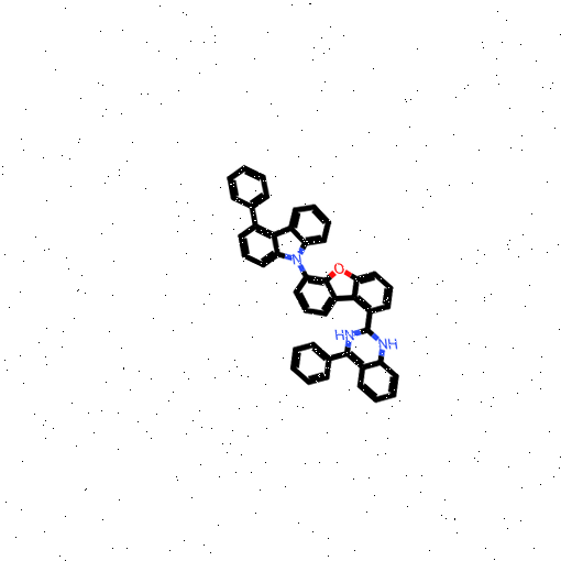 C1=CC2=C(c3ccccc3)NC(c3cccc4oc5c(-n6c7ccccc7c7c(-c8ccccc8)cccc76)cccc5c34)NC2C=C1